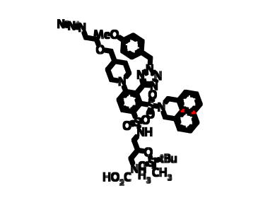 COc1ccc(Cn2nnc(-c3c(N4CCC(COCCN=[N+]=[N-])CC4)ccc(S(=O)(=O)NCC(CNC(=O)O)O[Si](C)(C)C(C)(C)C)c3S(=O)(=O)N(Cc3ccccc3)Cc3ccccc3)n2)cc1